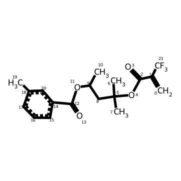 C=C(C(=O)OC(C)(C)CC(C)OC(=O)c1cccc(C)c1)C(F)(F)F